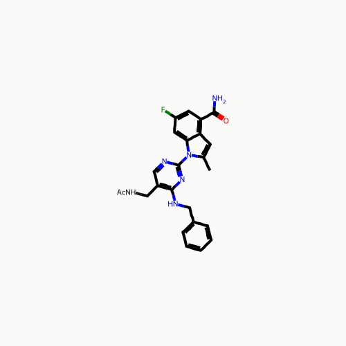 CC(=O)NCc1cnc(-n2c(C)cc3c(C(N)=O)cc(F)cc32)nc1NCc1ccccc1